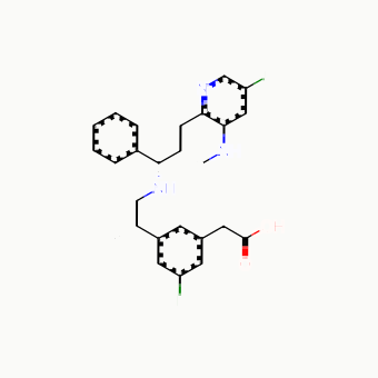 C[C@H](CN[C@H](c1ccccc1)[C@H]1CNc2cc(F)cnc2C1)c1cc(F)cc(CC(=O)O)c1